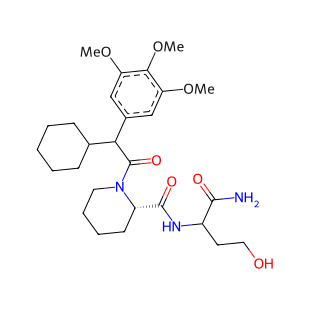 COc1cc(C(C(=O)N2CCCC[C@H]2C(=O)NC(CCO)C(N)=O)C2CCCCC2)cc(OC)c1OC